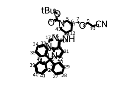 CC(C)(C)OC(=O)N1C[C@H](COCCC#N)C[C@H](Nc2ncnc3c2ccn3C(c2ccccc2)(c2ccccc2)c2ccccc2)C1